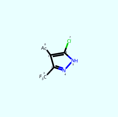 CC(=O)c1c(C(F)(F)F)n[nH]c1Cl